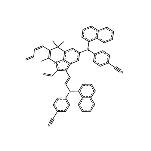 C=C/C=C\C1=C(C)n2c(C=C)c(/C=C/N(c3ccc(C#N)cc3)c3cccc4ccccc34)c3cc(N(c4ccc(C#N)cc4)c4cccc5ccccc45)cc(c32)C1(C)C